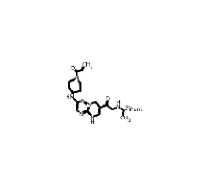 C=CC(=O)N1CCC(NC2=CN=C3NC=C(C(=O)CNC(C)[C@@H](C)CCC)CS3=N2)CC1